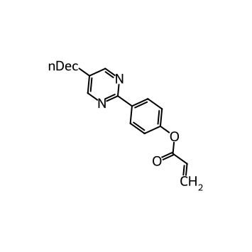 C=CC(=O)Oc1ccc(-c2ncc(CCCCCCCCCC)cn2)cc1